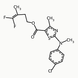 CC(CCOC(=O)c1sc(N(C)c2ccc(Cl)cc2)nc1C)=C(F)F